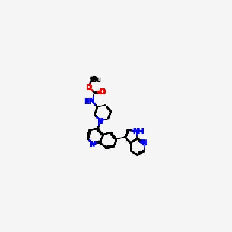 CC(C)(C)OC(=O)N[C@H]1CCCN(c2ccnc3ccc(-c4c[nH]c5ncccc45)cc23)C1